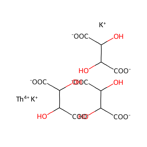 O=C([O-])C(O)C(O)C(=O)[O-].O=C([O-])C(O)C(O)C(=O)[O-].O=C([O-])C(O)C(O)C(=O)[O-].[K+].[K+].[Th+4]